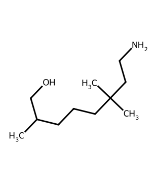 CC(CO)CCCC(C)(C)CCN